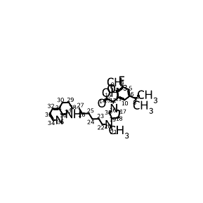 COc1c(F)cc(C(C)C)cc1[C@H](C(=O)O)N1CC[C@@H](N(C)CCCCCC[C@H]2CCc3cccnc3N2)C1